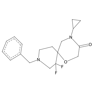 O=C1COC2(CCN(Cc3ccccc3)CC2(F)F)CN1C1CC1